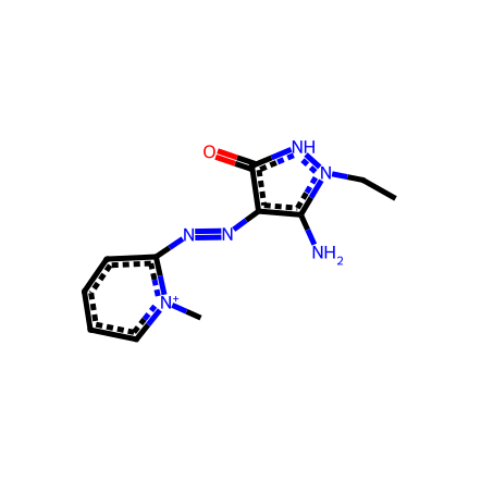 CCn1[nH]c(=O)c(/N=N/c2cccc[n+]2C)c1N